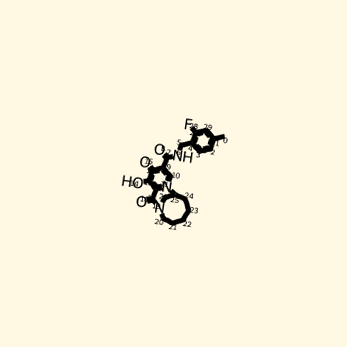 Cc1ccc(CNC(=O)c2cn3c(c(O)c2=O)C(=O)N2CCCCCC3C2)c(F)c1